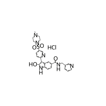 CN1CCN(S(=O)(=O)c2ccc(-c3c(O)[nH]c4ccc(C(=O)NCc5cccnc5)cc34)nc2)CC1.Cl